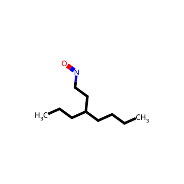 CCCCC(CCC)CCN=O